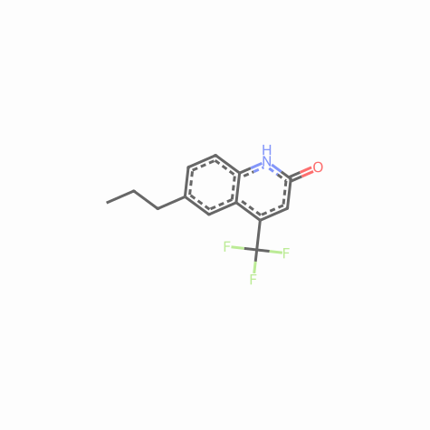 CCCc1ccc2[nH]c(=O)cc(C(F)(F)F)c2c1